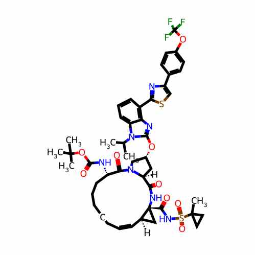 CC(C)n1c(O[C@@H]2C[C@H]3C(=O)N[C@]4(C(=O)NS(=O)(=O)C5(C)CC5)C[C@H]4/C=C\CCCCC[C@H](NC(=O)OC(C)(C)C)C(=O)N3C2)nc2c(-c3nc(-c4ccc(OC(F)(F)F)cc4)cs3)cccc21